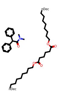 CCCCCCCCCCCCCCCCCCOC(=O)CCCCC(=O)OCCCCCCCCCCCCCCCCCC.CN(C)C(=O)C(c1ccccc1)c1ccccc1